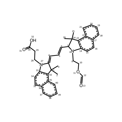 CC1(C)/C(=C\C=C\C2N(CCOC=O)c3ccc4ccccc4c3C2(C)C)N(CCC(=O)O)c2ccc3ccccc3c21